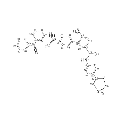 Cc1ccc(C(=O)Nc2ccc(N3CCOCC3)cc2)cc1-c1ccc(C(=O)Nc2cccc(C(=O)c3ccccc3)c2)cc1